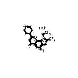 Cl.O=c1cc(C2CCNCC2)oc2c1cc(Cl)c1nc(C(F)(F)F)n(CC(F)(F)F)c12